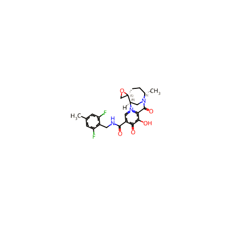 Cc1cc(F)c(CNC(=O)c2cn3c(c(O)c2=O)C(=O)N2C[C@@H]3[C@@]3(CC[C@@H]2C)CO3)c(F)c1